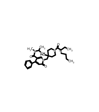 CCCC[C@H](CC)C(=O)N1CCC(O)(Cn2cc(C(=O)N(C)C(C)C)c(-c3ccccc3)cc2=O)CC1